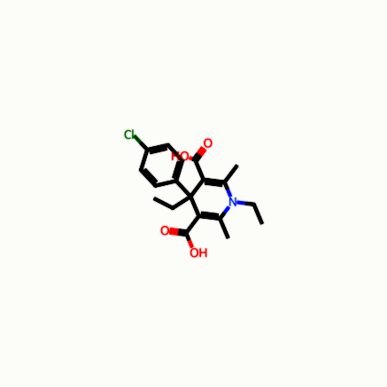 CCN1C(C)=C(C(=O)O)C(CC)(c2ccc(Cl)cc2)C(C(=O)O)=C1C